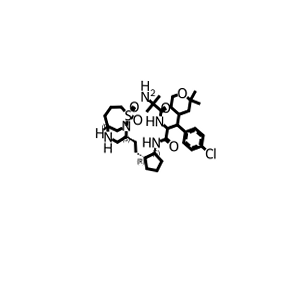 CC1(C)CC(C(c2ccc(Cl)cc2)C(NC(=O)C(C)(C)N)C(=O)N[C@H]2CCC[C@@H]2CC[C@H]2CN[C@@H]3CCCS(=O)(=O)N2C3)CCO1